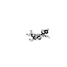 CCc1c(Nc2cc(-n3nc(C)c(CC(C)(C)O)c3C)ncn2)nn(C)c1-c1ccc(F)cc1